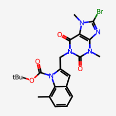 Cc1cccc2cc(Cn3c(=O)c4c(nc(Br)n4C)n(C)c3=O)n(C(=O)OC(C)(C)C)c12